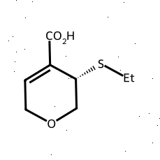 CCS[C@@H]1COCC=C1C(=O)O